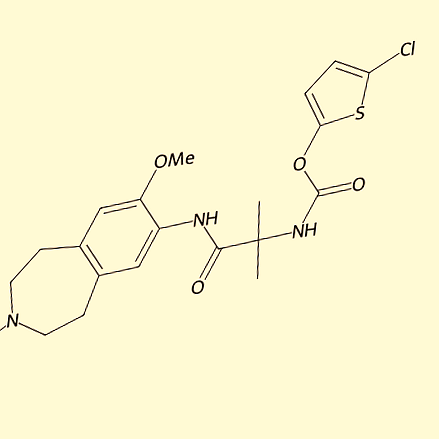 COc1cc2c(cc1NC(=O)C(C)(C)NC(=O)Oc1ccc(Cl)s1)CCN(C)CC2